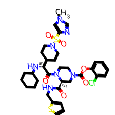 Cn1cnc(S(=O)(=O)N2CCC([C@@H](NC3CCCCC3)C(=O)N3CCN(C(=O)Oc4ccccc4Cl)C[C@H]3C(=O)NCc3cccs3)CC2)c1